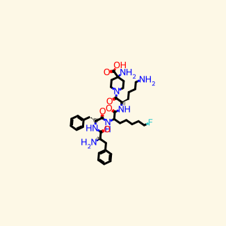 NCCCC[C@@H](NC(=O)C(CCCCCF)NC(=O)[C@@H](Cc1ccccc1)NC(=O)[C@H](N)Cc1ccccc1)C(=O)N1CCC(N)(C(=O)O)CC1